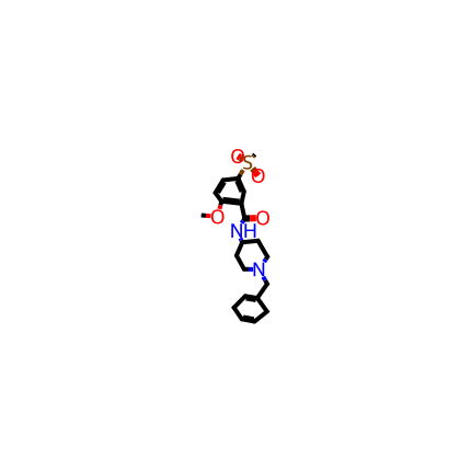 COc1ccc(S(C)(=O)=O)cc1C(=O)NC1CCN(CC2=CCC=CC2)CC1